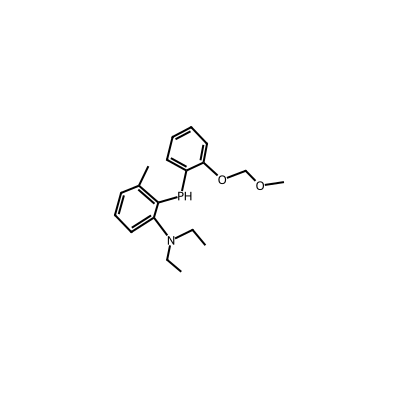 CCN(CC)c1cccc(C)c1Pc1ccccc1OCOC